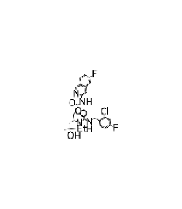 CCN(C(=O)NCc1ccc(F)cc1Cl)[C@H](COC(=O)Nc1cc2cc(F)ccc2cn1)CC(C)(C)O